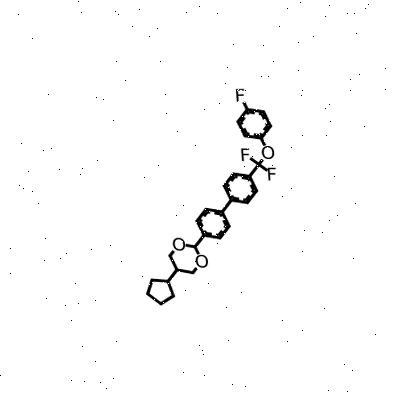 Fc1ccc(OC(F)(F)c2ccc(-c3ccc(C4OCC(C5CCCC5)CO4)cc3)cc2)cc1